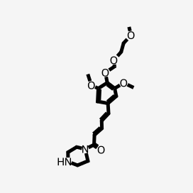 COCCOCOc1c(OC)cc(/C=C/C=C/C(=O)N2CCNCC2)cc1OC